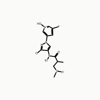 CCN(C(=O)C(C)C[S+](C)[O-])c1cn(-c2cc(F)c[n+](O)c2)nc1Cl